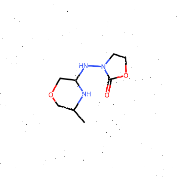 CC1COCC(NN2CCOC2=O)N1